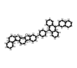 c1ccc2cc(-c3c4ccccc4c(-c4ccc(-c5ccc6c(c5)oc5c6ccc6c5sc5ccc7ccccc7c56)cc4)c4ccccc34)ccc2c1